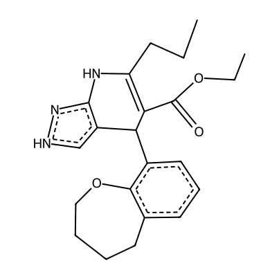 CCCC1=C(C(=O)OCC)C(c2cccc3c2OCCCC3)c2c[nH]nc2N1